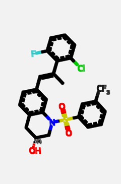 CC(=Cc1ccc2c(c1)N(S(=O)(=O)c1cccc(C(F)(F)F)c1)C[C@H](O)C2)c1c(F)cccc1Cl